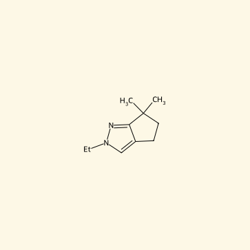 CCn1cc2c(n1)C(C)(C)CC2